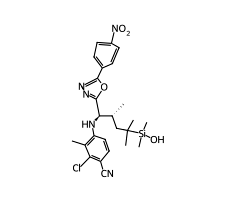 Cc1c(N[C@@H](c2nnc(-c3ccc([N+](=O)[O-])cc3)o2)[C@H](C)CC(C)(C)[Si](C)(C)O)ccc(C#N)c1Cl